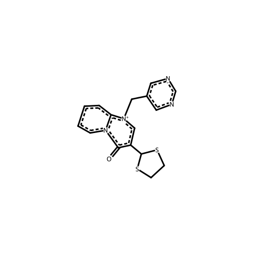 O=c1c(C2SCCS2)c[n+](Cc2cncnc2)c2ccccn12